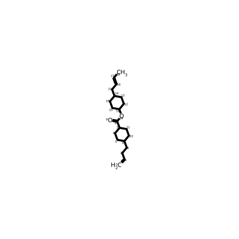 C=CCCC1CCC(C(=O)OC2CCC(C/C=C/C)CC2)CC1